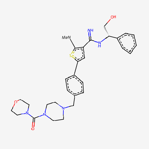 CNc1sc(-c2ccc(CN3CCN(C(=O)N4CCOCC4)CC3)cc2)cc1C(=N)N[C@H](CO)c1ccccc1